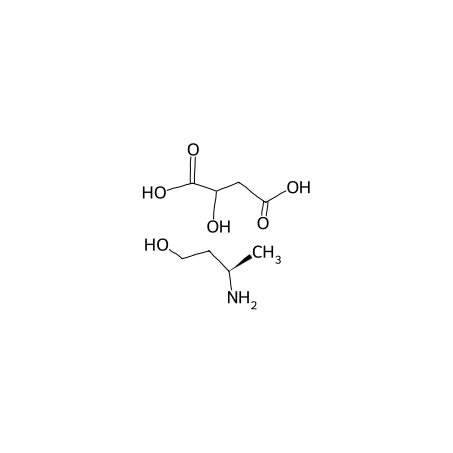 C[C@@H](N)CCO.O=C(O)CC(O)C(=O)O